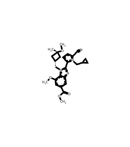 COC(=O)c1cc(OC)c2c(c1)nc(-c1ccc(C#N)n1CC1CC1)n2C[C@H]1C[C@@](C)(OC)C1